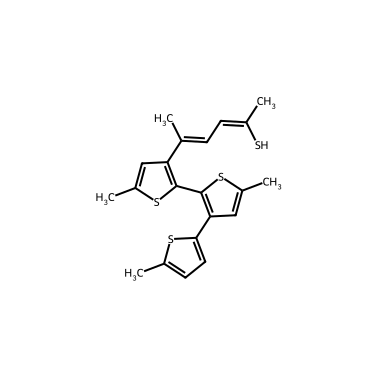 C/C(S)=C/C=C(\C)c1cc(C)sc1-c1sc(C)cc1-c1ccc(C)s1